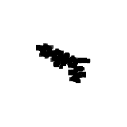 CO[C@H]1CC(S(=O)(=O)c2ccc(-c3ccc(F)cc3)cc2C(F)(F)F)C[C@@H]1C(=O)NC1(C#N)CC1